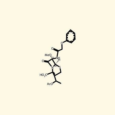 CO[C@@]1(NC(=O)COc2ccccc2)C(=O)N2C(C(=O)O)=C(C(C)OC(C)=O)CS[C@@H]21